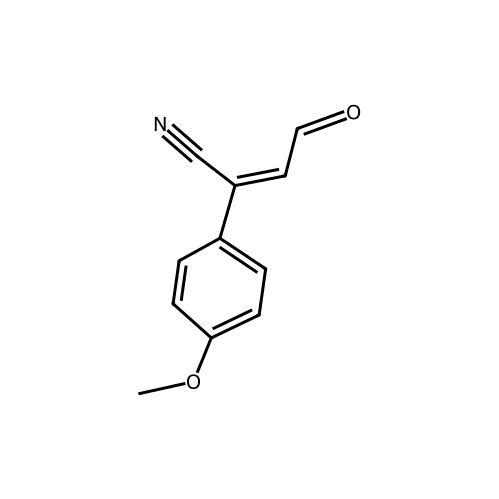 COc1ccc(C(C#N)=CC=O)cc1